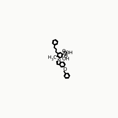 Cc1c(CCCc2ccccc2)cc(S(=O)(=O)O)c(O)c1-n1ccc2cc(OCc3ccccc3)ccc21